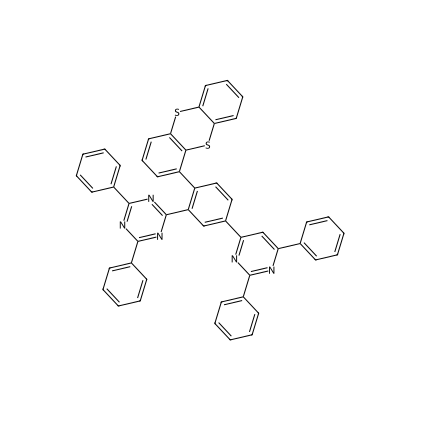 c1ccc(-c2cc(-c3ccc(-c4cccc5c4Sc4ccccc4S5)c(-c4nc(-c5ccccc5)nc(-c5ccccc5)n4)c3)nc(-c3ccccc3)n2)cc1